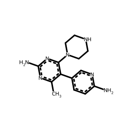 Cc1nc(N)nc(N2CCNCC2)c1-c1ccc(N)nc1